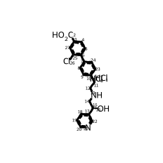 Cl.Cl.O=C(O)c1ccc(-c2ccc(CCNC[C@@H](O)c3cccnc3)cc2)c(Cl)c1